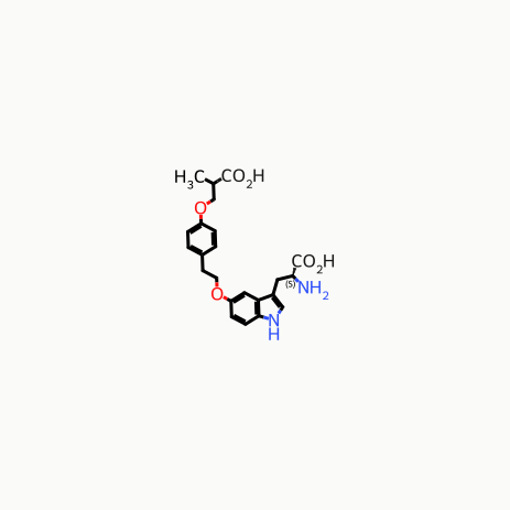 CC(COc1ccc(CCOc2ccc3[nH]cc(C[C@H](N)C(=O)O)c3c2)cc1)C(=O)O